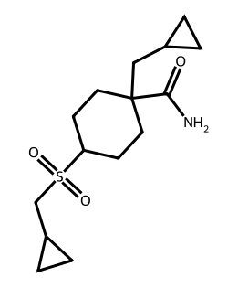 NC(=O)C1(CC2CC2)CCC(S(=O)(=O)CC2CC2)CC1